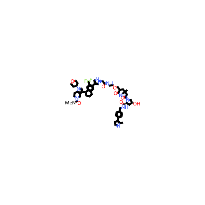 CNC(=O)N1CCc2c(c(C3CCCc4cc(-c5cnn(CC(=O)NCCOCC(CC(C)(C)CC(=O)N6C[C@H](O)C[C@@H]6C(=O)NCc6ccc(C7=C(C)N=CC7)cc6)C(N)=O)c5)c(C(F)F)cc43)cn2C2CCOCC2)C1